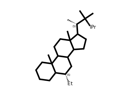 CC[C@H]1CC2C(CCC3(C)C2CCC3[C@H](C)C(C)(C)C(C)C)C2(C)CCCCC12